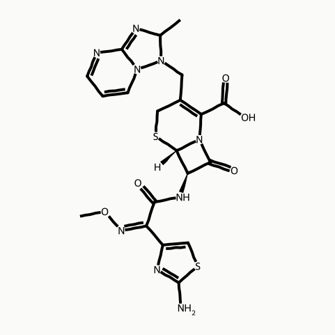 CO/N=C(\C(=O)N[C@@H]1C(=O)N2C(C(=O)O)=C(CN3C(C)N=C4N=CC=CN43)CS[C@@H]12)c1csc(N)n1